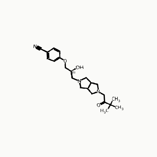 CC(C)(C)C(=O)CN1CC2CN(C[C@H](O)COc3ccc(C#N)cc3)CC2C1